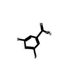 NC(=O)c1cc(F)[c]c(F)c1